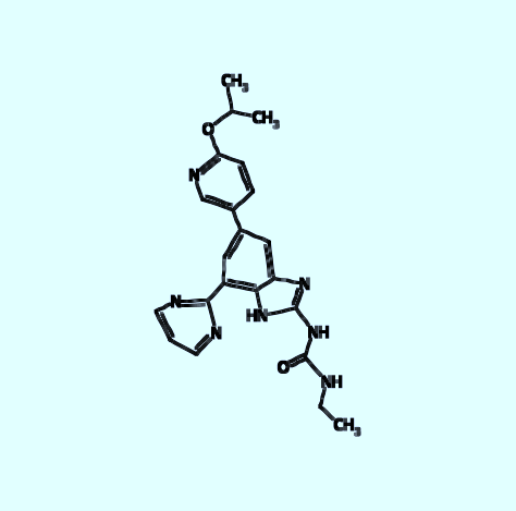 CCNC(=O)Nc1nc2cc(-c3ccc(OC(C)C)nc3)cc(-c3ncccn3)c2[nH]1